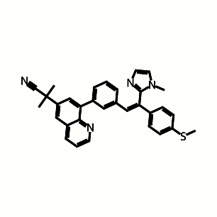 CSc1ccc(C(=Cc2cccc(-c3cc(C(C)(C)C#N)cc4cccnc34)c2)c2nccn2C)cc1